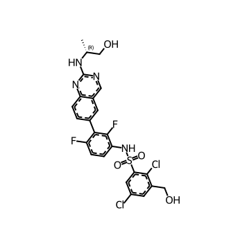 C[C@H](CO)Nc1ncc2cc(-c3c(F)ccc(NS(=O)(=O)c4cc(Cl)cc(CO)c4Cl)c3F)ccc2n1